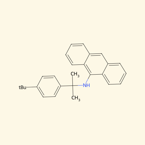 CC(C)(C)c1ccc(C(C)(C)Nc2c3ccccc3cc3ccccc23)cc1